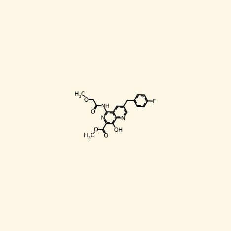 COCC(=O)Nc1nc(C(=O)OC)c(O)c2ncc(Cc3ccc(F)cc3)cc12